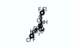 O=C(COc1ccc(Cl)c(F)c1)NC12CCC(NC(=O)COc3ccc(Cl)c(F)c3)(CC1)C(OC(=O)O)C2